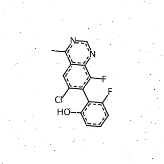 Cc1ncnc2c(F)c(-c3c(O)cccc3F)c(Cl)cc12